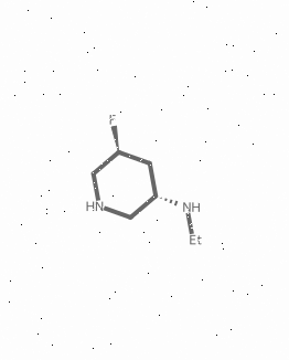 CCN[C@@H]1CNC[C@@H](F)C1